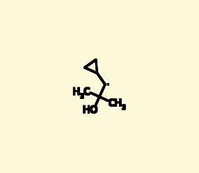 CC(C)(O)[CH]C1CC1